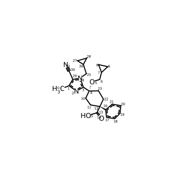 Cc1nc([C@]2(OCC3CC3)CC[C@](C(=O)O)(c3ccccc3)CC2)n(CC2CC2)c1C#N